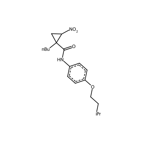 CCCCC1(C(=O)Nc2ccc(OCCC(C)C)cc2)CC1[N+](=O)[O-]